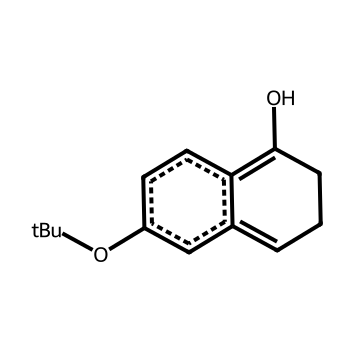 CC(C)(C)Oc1ccc2c(c1)=CCCC=2O